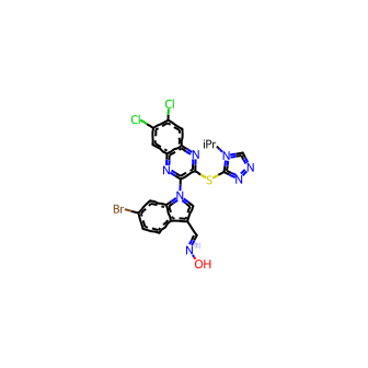 CC(C)n1cnnc1Sc1nc2cc(Cl)c(Cl)cc2nc1-n1cc(/C=N/O)c2ccc(Br)cc21